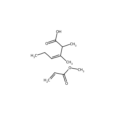 C=CC(=O)OC.CCC=C(C)C(C)C(=O)O